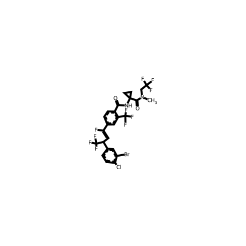 CN(CC(F)(F)F)C(=O)C1(NC(=O)c2ccc(/C(F)=C/C(c3ccc(Cl)c(Br)c3)C(F)(F)F)cc2C(F)(F)F)CC1